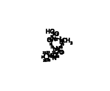 CN1CCN(CC(=O)O)C(=O)CCCN(C(=O)c2cnn(-c3ccccc3)c2)CC1